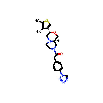 Cc1c([C@H]2CN3CCN(C(=O)Cc4ccc(-n5cnnn5)cc4)C[C@H]3CO2)csc1C#N